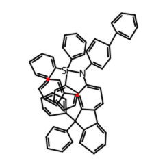 c1ccc(-c2ccc(N(c3ccc4c(c3-c3ccccc3)C(c3ccccc3)(c3ccccc3)c3ccccc3-4)[Si](c3ccccc3)(c3ccccc3)c3ccccc3)cc2)cc1